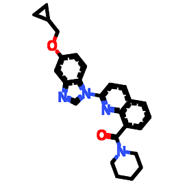 O=C(c1cccc2ccc(-n3cnc4cc(OCC5CC5)ccc43)nc12)N1CCCCC1